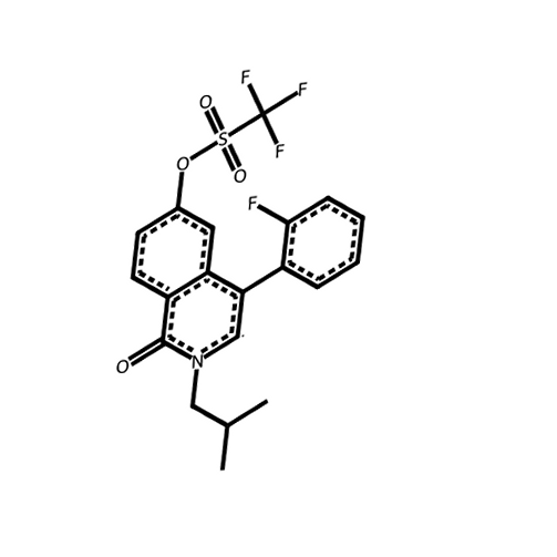 CC(C)Cn1[c]c(-c2ccccc2F)c2cc(OS(=O)(=O)C(F)(F)F)ccc2c1=O